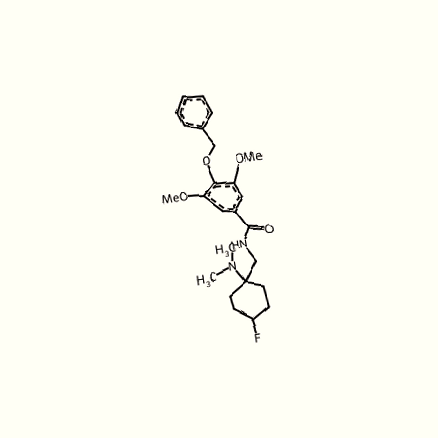 COc1cc(C(=O)NCC2(N(C)C)CCC(F)CC2)cc(OC)c1OCc1ccccc1